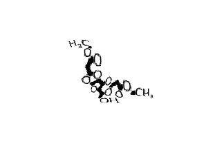 CCOC(=O)CC1OC2OC3C(CO)OC(CC(=O)OCC)OC3C2O1